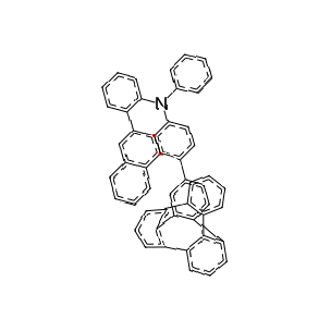 c1ccc(N(c2ccc(-c3ccc4c(c3)-c3c5cccc3-c3cccc-4c3-c3ccccc3-5)cc2)c2ccccc2-c2ccc3ccccc3c2)cc1